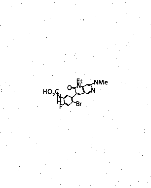 CCn1c(=O)c(-c2cc(NC(=O)O)c(F)cc2Br)cc2cnc(NC)cc21